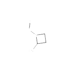 CC(=O)ON1CCC1N